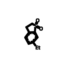 CCc1ccc2c(c1)S(=O)(=O)CC2